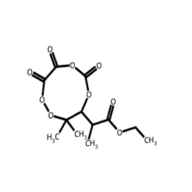 CCOC(=O)C(C)C1OC(=O)OC(=O)C(=O)OOC1(C)C